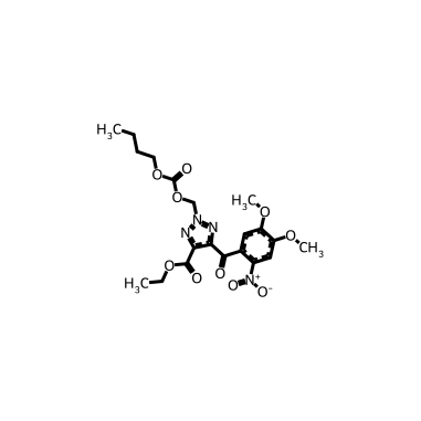 CCCCOC(=O)OCn1nc(C(=O)OCC)c(C(=O)c2cc(OC)c(OC)cc2[N+](=O)[O-])n1